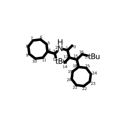 CC(NC(C1CCCCCCC1)C(C)(C)C)C(C)C(CC(C)(C)C)C1CCCCCCC1